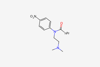 CCCC(=O)N(CCN(C)C)c1ccc([N+](=O)[O-])cc1